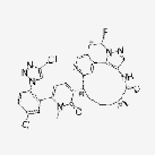 C[C@H]1CCC[C@H](c2ccc(-c3cc(Cl)ccc3-n3cc(Cl)nn3)n(C)c2=O)c2cc(ccn2)-c2c(cnn2C(F)F)NC1=O